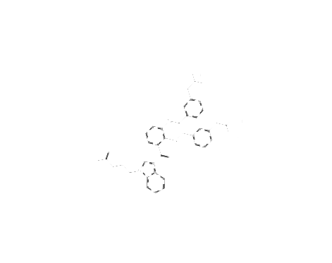 CC(C)Cc1cccc(CNc2cccc(C(=O)c3cn(CCCC(=O)O)c4ccccc34)c2NCc2cccc(CC(C)C)c2)c1